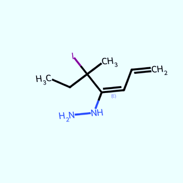 C=C/C=C(/NN)C(C)(I)CC